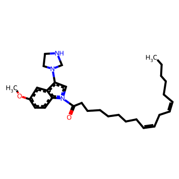 CCCCC/C=C\C/C=C\CCCCCCCC(=O)n1cc(N2CCNC2)c2cc(OC)ccc21